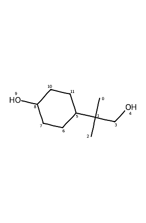 CC(C)(CO)C1CCC(O)CC1